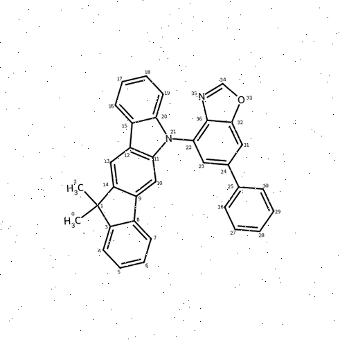 CC1(C)c2ccccc2-c2cc3c(cc21)c1ccccc1n3-c1cc(-c2ccccc2)cc2ocnc12